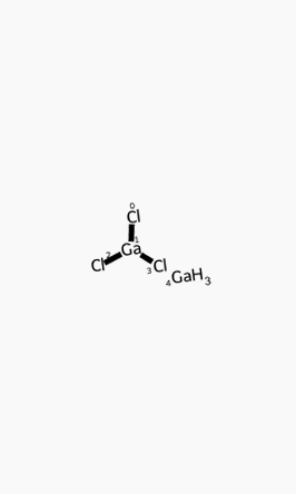 [Cl][Ga]([Cl])[Cl].[GaH3]